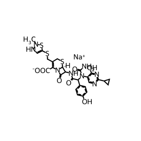 CN1NC=C(SCC2=C(C(=O)[O-])N3C(=O)C(NC(=O)C(c4ccc(O)cc4)N(C(N)=O)c4cnc(C5CC5)nc4O)[C@@H]3SC2)S1.[Na+]